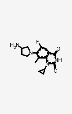 Cc1c(N2CCC(N)C2)c(F)cc2c(=O)[nH]c(=O)n(C3CC3)c12